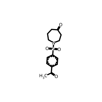 CC(=O)c1ccc(S(=O)(=O)N2CCCC(=O)CC2)cc1